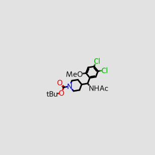 COc1cc(Cl)c(Cl)cc1C(NC(C)=O)C1CCN(C(=O)OC(C)(C)C)CC1